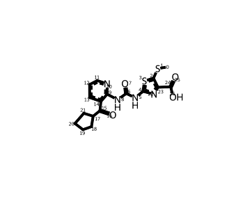 CSc1sc(NC(=O)Nc2ncccc2C(=O)C2CCCC2)nc1C(=O)O